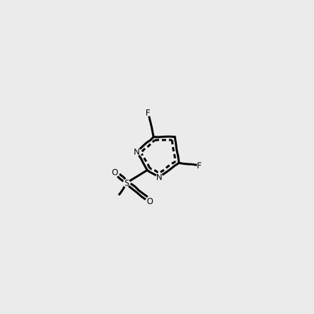 CS(=O)(=O)c1nc(F)cc(F)n1